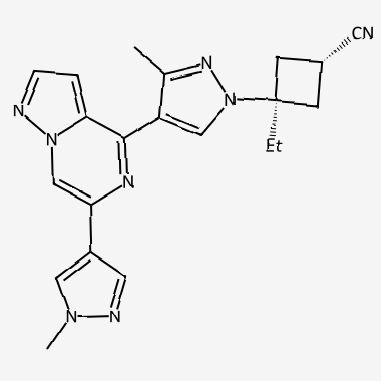 CC[C@]1(n2cc(-c3nc(-c4cnn(C)c4)cn4nccc34)c(C)n2)C[C@H](C#N)C1